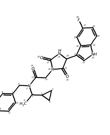 CC(C1CC1)N(Cc1ccccc1)C(=O)CN1C(=O)NC(c2c[nH]c3ccc(F)cc23)C1=O